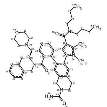 CCCCN(CCCC)C(=O)c1cc(-c2cc3c(cc2-c2ccccc2C(=O)N2Cc4ccccc4C[C@H]2CN2CCOCC2)CN(C(N)=O)CC3)n(C)c1C